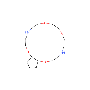 C1CC2OCCNCCOCCOCCNCCOC2C1